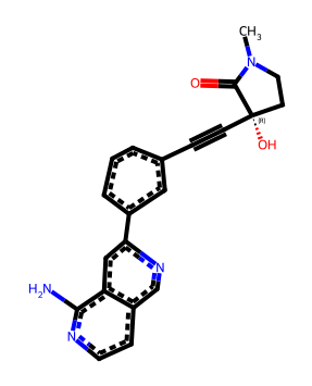 CN1CC[C@@](O)(C#Cc2cccc(-c3cc4c(N)nccc4cn3)c2)C1=O